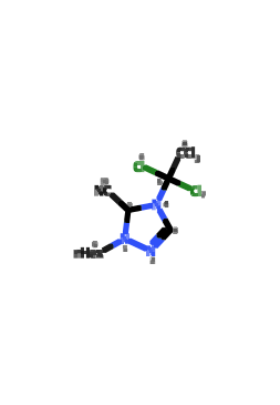 CCCCCCN1N=CN(C(Cl)(Cl)C(Cl)(Cl)Cl)C1C#N